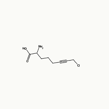 NC(CCCC#CCCl)C(=O)O